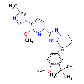 COc1ccc([C@H]2CCCn3nc(-c4ccc(-n5cnc(C)c5)c(OC)n4)nc32)cc1C(C)(C)C